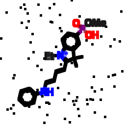 CC[N+]1=C(/C=C/C=C/Nc2ccccc2)C(C)(C)c2cc(P(=O)(O)OC)ccc21